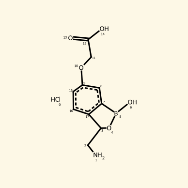 Cl.NCC1OB(O)c2cc(OCC(=O)O)ccc21